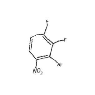 O=[N+]([O-])c1ccc(F)c(F)c1Br